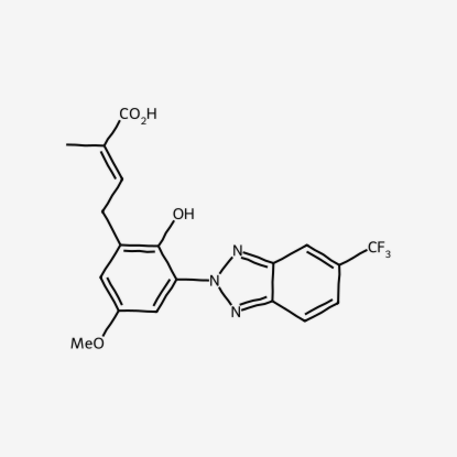 COc1cc(C/C=C(\C)C(=O)O)c(O)c(-n2nc3ccc(C(F)(F)F)cc3n2)c1